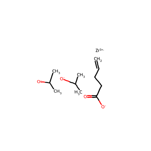 C=CCCC(=O)[O-].CC(C)[O-].CC(C)[O-].[Zr+3]